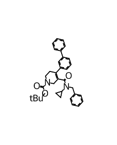 CC(C)(C)OC(=O)N1CCC(c2cccc(-c3ccccc3)c2)=C(C(=O)N(Cc2ccccc2)C2CC2)C1